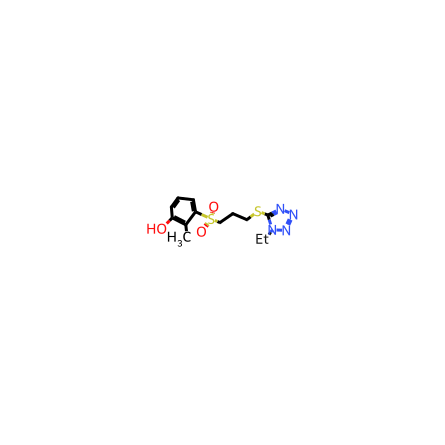 CCn1nnnc1SCCCS(=O)(=O)c1cccc(O)c1C